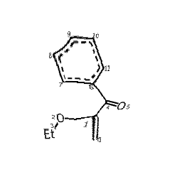 C=C(OCC)C(=O)c1ccccc1